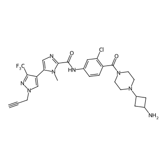 C#CCn1cc(-c2cnc(C(=O)Nc3ccc(C(=O)N4CCN(C5CC(N)C5)CC4)c(Cl)c3)n2C)c(C(F)(F)F)n1